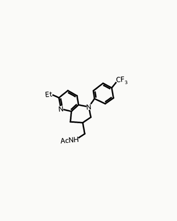 CCc1ccc2c(n1)CC(CNC(C)=O)CN2c1ccc(C(F)(F)F)cc1